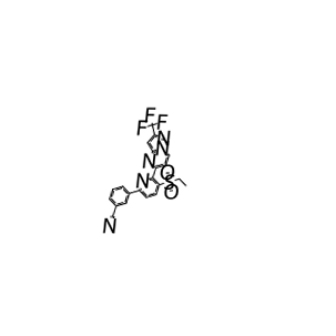 CCS(=O)(=O)c1ccc(-c2cccc(C#N)c2)nc1-c1ccn2nc(C(F)(F)F)cc2n1